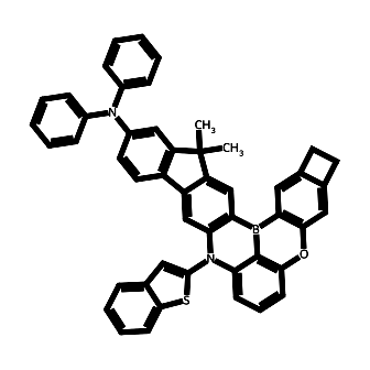 CC1(C)c2cc(N(c3ccccc3)c3ccccc3)ccc2-c2cc3c(cc21)B1c2cc4c(cc2Oc2cccc(c21)N3c1cc2ccccc2s1)CC4